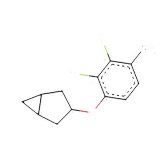 O=[N+]([O-])c1ccc(OC2CC3CC3C2)c(F)c1F